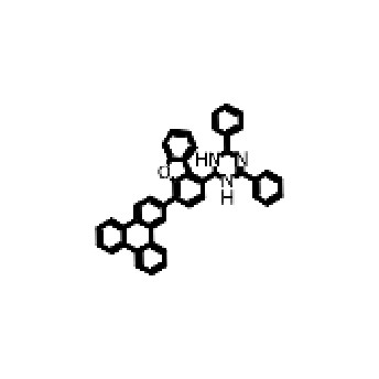 c1ccc(C2=NC(c3ccccc3)NC(c3ccc(-c4ccc5c6ccccc6c6ccccc6c5c4)c4oc5ccccc5c34)N2)cc1